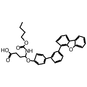 CCCCOC(=O)NC(CCC(=O)O)Oc1ccc(-c2cccc(-c3cccc4c3oc3ccccc34)c2)cc1